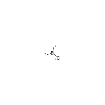 [CH3][Bi]([CH3])[Cl]